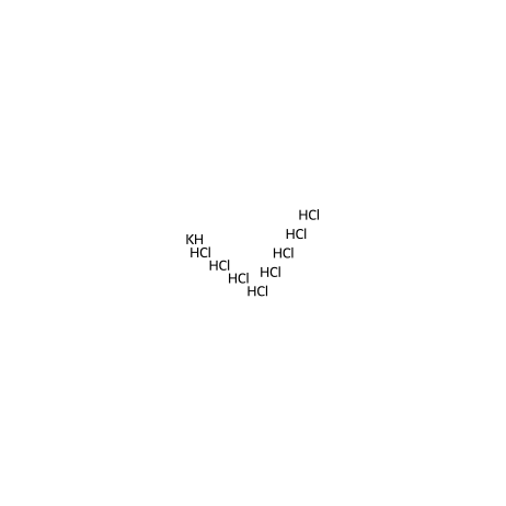 Cl.Cl.Cl.Cl.Cl.Cl.Cl.Cl.[KH]